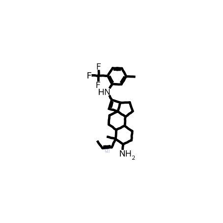 C/C=C\C1(C)C(N)CCC2C1CCC13C=C(Nc4cc(C)ccc4C(F)(F)F)C1CCC23